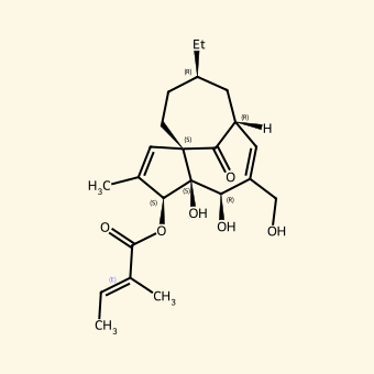 C/C=C(\C)C(=O)O[C@H]1C(C)=C[C@@]23CC[C@@H](CC)C[C@H](C=C(CO)[C@@H](O)[C@]12O)C3=O